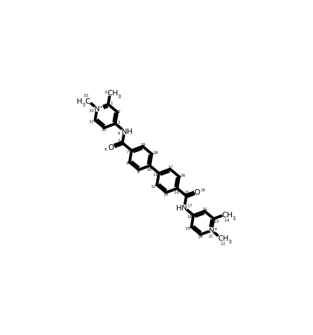 Cc1cc(NC(=O)c2ccc(-c3ccc(C(=O)Nc4cc[n+](C)c(C)c4)cc3)cc2)cc[n+]1C